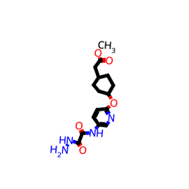 COC(=O)CC1CCC(Oc2ccc(NC(=O)C(=O)NN)cn2)CC1